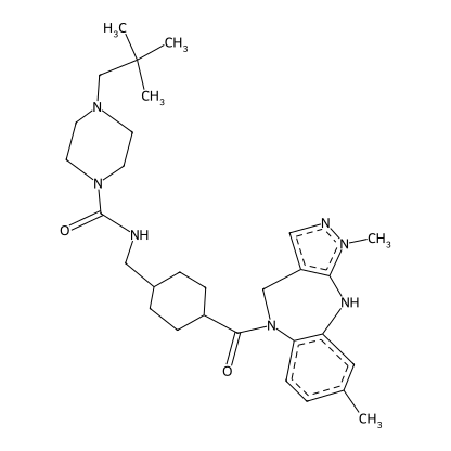 Cc1ccc2c(c1)Nc1c(cnn1C)CN2C(=O)C1CCC(CNC(=O)N2CCN(CC(C)(C)C)CC2)CC1